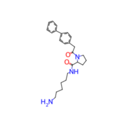 NCCCCCCNC(=O)C1CCCN1C(=O)Cc1ccc(-c2ccccc2)cc1